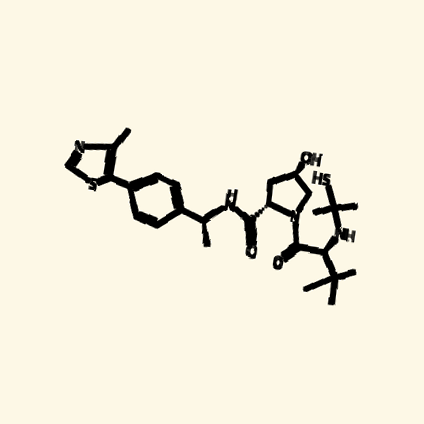 Cc1ncsc1-c1ccc([C@H](C)NC(=O)[C@@H]2C[C@@H](O)CN2C(=O)[C@@H](NC(C)(C)S)C(C)(C)C)cc1